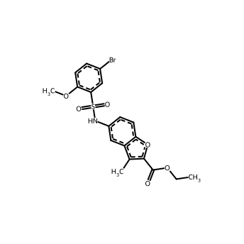 CCOC(=O)c1oc2ccc(NS(=O)(=O)c3cc(Br)ccc3OC)cc2c1C